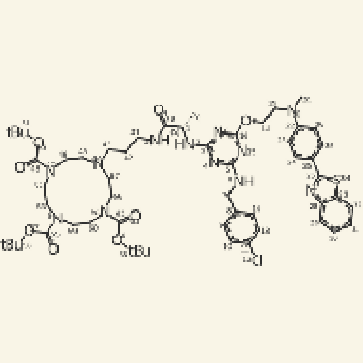 C[C@H](Nc1nc(NCc2ccc(Cl)cc2)nc(OCCN(C)c2ccc(-c3nc4ccccc4s3)cc2)n1)C(=O)NCCCN1CCN(C(=O)OC(C)(C)C)CCN(C(=O)OC(C)(C)C)CCN(C(=O)OC(C)(C)C)CC1